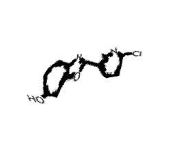 Oc1ccc2nc(-c3ccc(Cl)nc3)oc2c1